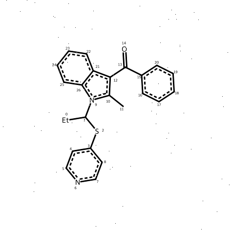 CCC(Sc1ccncc1)n1c(C)c(C(=O)c2ccccc2)c2ccccc21